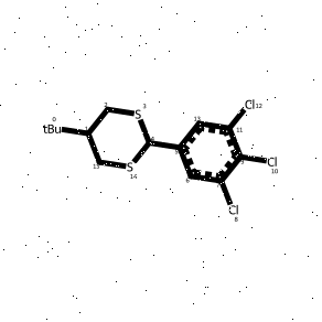 CC(C)(C)C1CSC(c2cc(Cl)c(Cl)c(Cl)c2)SC1